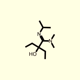 CCC(O)(CC)C(=NC(C)C)N(C)C